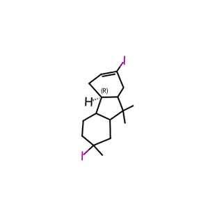 CC1(I)CCC2C(C1)C(C)(C)C1CC(I)=CC[C@H]21